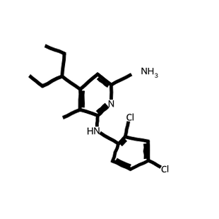 CCC(CC)c1cc(C)nc(Nc2ccc(Cl)cc2Cl)c1C.N